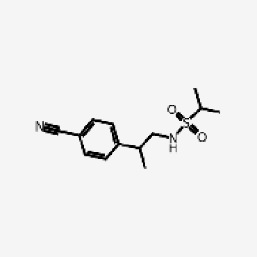 CC(CNS(=O)(=O)C(C)C)c1ccc(C#N)cc1